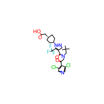 CC(C)(C)CN(CC(=O)c1c(Cl)cncc1Cl)C(=O)c1cnn([C@H]2CC[C@@H](CC(=O)O)CC2)c1C(F)(F)F